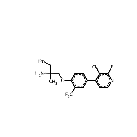 CC(C)CC(C)(N)COc1ccc(-c2ccnc(F)c2Cl)cc1C(F)(F)F